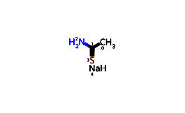 CC(N)=S.[NaH]